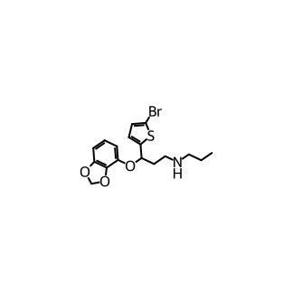 CCCNCCC(Oc1cccc2c1OCO2)c1ccc(Br)s1